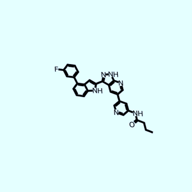 CCCC(=O)Nc1cncc(-c2cnc3[nH]nc(-c4cc5c(-c6cccc(F)c6)cccc5[nH]4)c3c2)c1